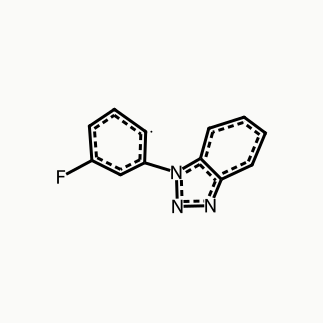 Fc1cc[c]c(-n2nnc3ccccc32)c1